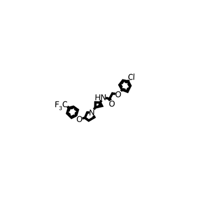 O=C(COc1ccc(Cl)cc1)NC12CC(N3CCC(Oc4ccc(C(F)(F)F)cc4)C3)(C1)C2